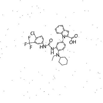 CCN(c1ccc(-n2c(C(=O)O)cc3ccccc32)cc1NC(=O)Nc1ccc(Cl)c(C(F)(F)F)c1)C1CCCCC1